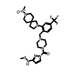 CSNc1ccn(C(=O)N2CCN(Cc3ccc(C(F)(F)F)cc3N3CCC4(CCN([S+](C)[O-])CC4)C3)CC2)n1